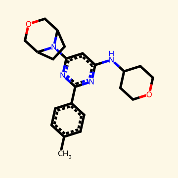 Cc1ccc(-c2nc(NC3CCOCC3)cc(N3C4CCC3COC4)n2)cc1